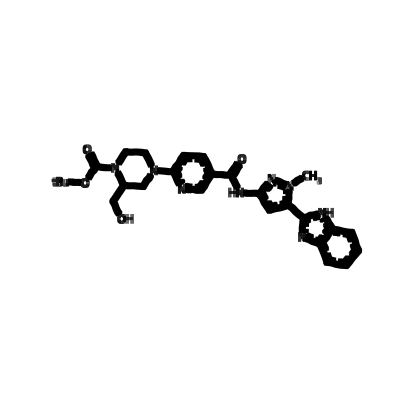 Cn1nc(NC(=O)c2ccc(N3CCN(C(=O)OC(C)(C)C)C(CO)C3)nc2)cc1-c1nc2ccccc2[nH]1